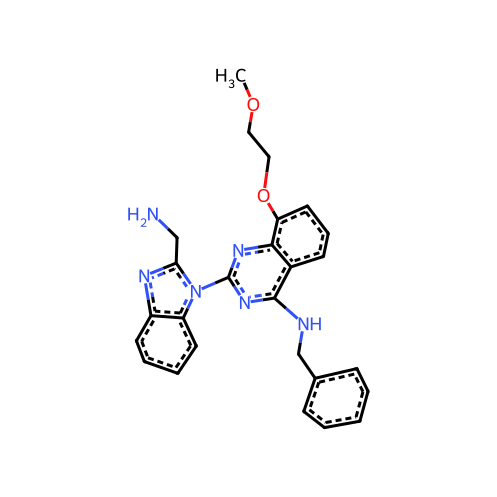 COCCOc1cccc2c(NCc3ccccc3)nc(-n3c(CN)nc4ccccc43)nc12